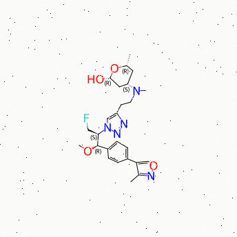 CO[C@H](c1ccc(-c2conc2C)cc1)[C@@H](CF)n1cc(CCN(C)[C@H]2C[C@@H](C)O[C@@H](O)C2)nn1